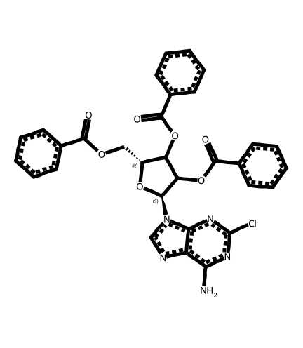 Nc1nc(Cl)nc2c1ncn2[C@H]1O[C@H](COC(=O)c2ccccc2)C(OC(=O)c2ccccc2)C1OC(=O)c1ccccc1